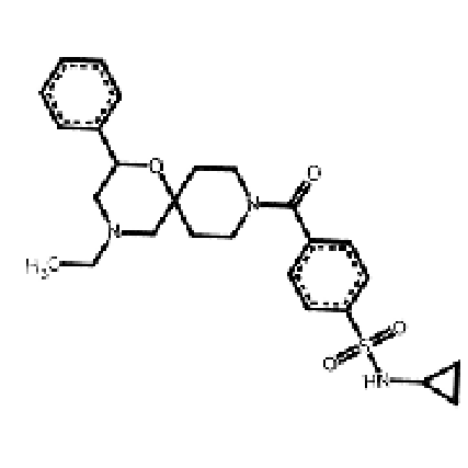 CCN1CC(c2ccccc2)OC2(CCN(C(=O)c3ccc(S(=O)(=O)NC4CC4)cc3)CC2)C1